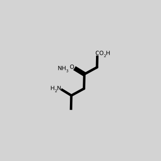 CC(N)CC(=O)CC(=O)O.N